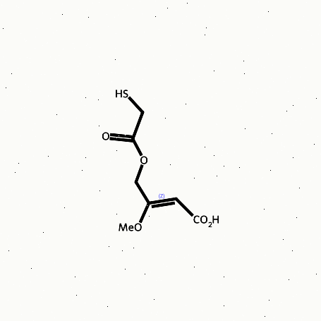 CO/C(=C\C(=O)O)COC(=O)CS